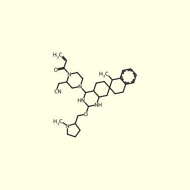 C=CC(=O)N1CCN(C2NC(OCC3CCCN3C)NC3CC4(CCc5ccccc5C4C)CCC32)CC1CC#N